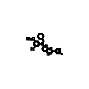 CCc1cc(OC)cc(N(CC2CCCCC2)c2ccc3ncc(-c4cnn(C)c4)nc3n2)c1